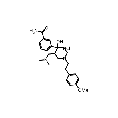 COc1ccc(CCN2CCC(O)(c3cccc(C(N)=O)c3)C(CN(C)C)C2)cc1.Cl